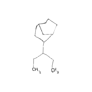 CCC(CC)C1CC2CCC1C2